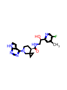 Cc1cc([C@H](O)CNC(=O)[C@@H]2CCN(c3ncnc4[nH]ccc34)CC23CC3)ncc1F